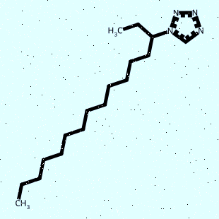 CCCCCCCCCCCCCC(CC)n1cnnn1